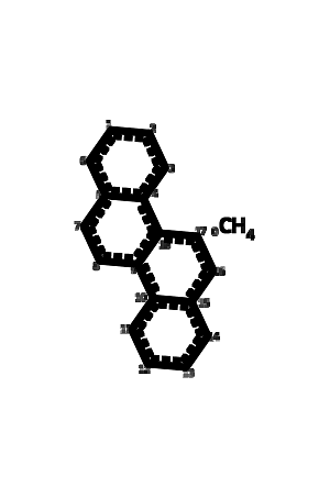 C.c1ccc2c(c1)ccc1c3ccccc3ccc21